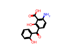 Nc1ccc(C(=O)c2ccccc2O)c(O)c1C(=O)O